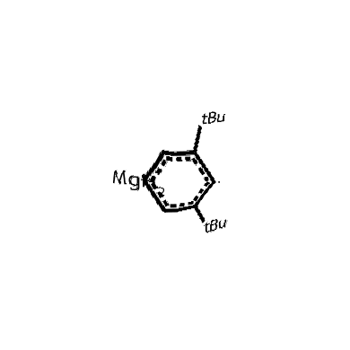 CC(C)(C)c1[c]c(C(C)(C)C)ccc1.[MgH2]